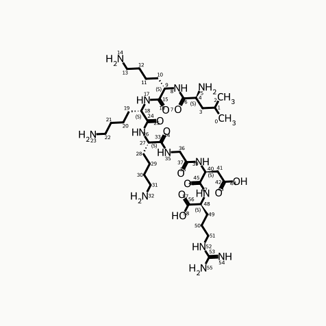 CC(C)C[C@H](N)C(=O)N[C@@H](CCCCN)C(=O)N[C@@H](CCCCN)C(=O)N[C@@H](CCCCN)C(=O)NCC(=O)N[C@@H](CC(=O)O)C(=O)N[C@@H](CCCNC(=N)N)C(=O)O